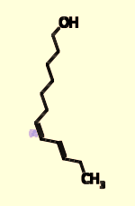 CCC=C/C=C\CCCCCCO